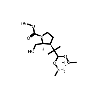 C[SiH2]OC(O[SiH2]C)C(C)(C)[C@@H]1CCN(C(=O)OC(C)(C)C)[C@]1(C)CO